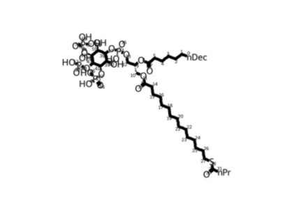 CCCCCCCCCCCCCCCC(=O)O[C@H](COC(=O)CCCCCCCCCCCCCCSC(=O)CCC)COP(=O)(O)OC1C(O)[C@@H](OP(=O)(O)O)C(OP(=O)(O)O)[C@@H](OP(=O)(O)O)[C@H]1O